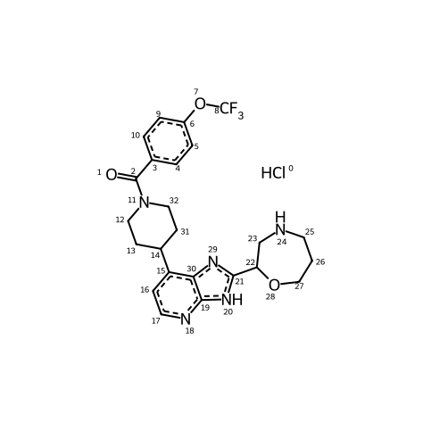 Cl.O=C(c1ccc(OC(F)(F)F)cc1)N1CCC(c2ccnc3[nH]c(C4CNCCCO4)nc23)CC1